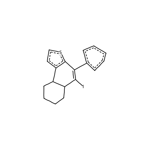 IC1=C(c2ccccc2)c2sccc2C2CCCCC12